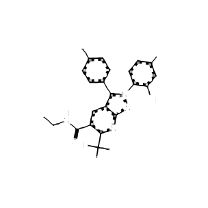 CCNC(=O)c1cc2c(-c3ccc(Cl)cc3)n(-c3ccc(Cl)cc3Cl)nc2nc1C(F)(F)F